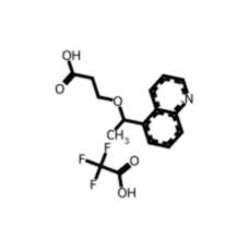 CC(OCCC(=O)O)c1cccc2ncccc12.O=C(O)C(F)(F)F